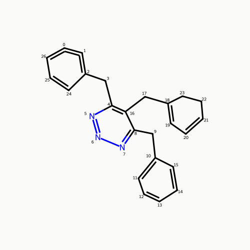 C1=C=C(Cc2nnnc(Cc3ccccc3)c2CC2=CC=CCC2)C=CC=1